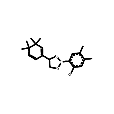 Cc1cc(Cl)c(B2OCC(C3=CC(C)(C)C(C)(C)C=C3)O2)cc1C